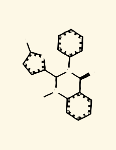 CCc1ccc(C2N(C)c3ccccc3C(=O)N2c2ccccc2)s1